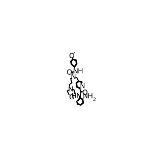 COc1ccc(NC(=O)N(CCCN2CCOCC2)Cc2ccc(C(=O)Nc3ccccc3N)nc2)cc1